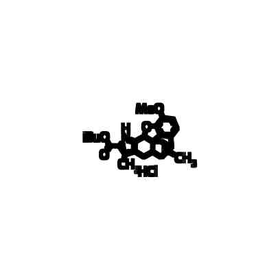 COc1ccc2c3c1OC1c4[nH]c(C(=O)OCC(C)C)c(C)c4CC4C(C2)N(C)CCC314.Cl